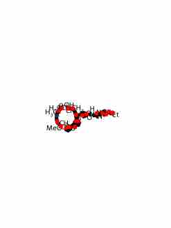 CCOCCN1CCN(c2ncc(CNC(=O)O[C@H]3CC[C@H](CC[C@@H]4CC[C@H](C)/C=C(\C)[C@@H](O)CC(=O)[C@H](C)C[C@H](C)/C=C/C=C/C=C(\C)[C@@H](OC)CC5CCCC(O5)C(=O)C(=O)N5CCCC[C@H]5C(=O)O4)CC3)cn2)CC1